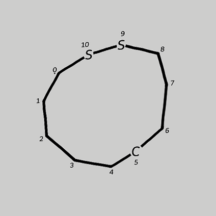 [CH]1CCCCCCCCSS1